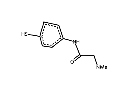 CNCC(=O)Nc1ccc(S)cc1